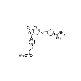 COC(=O)CCN1CCN(C2OC(=O)N(C)C2CCCCC2CCN(C(=N)N)CC2)CC1